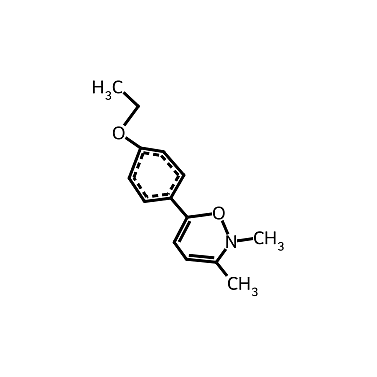 CCOc1ccc(C2=CC=C(C)N(C)O2)cc1